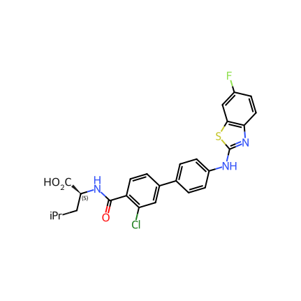 CC(C)C[C@H](NC(=O)c1ccc(-c2ccc(Nc3nc4ccc(F)cc4s3)cc2)cc1Cl)C(=O)O